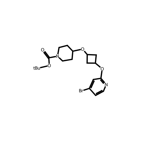 CC(C)(C)OC(=O)N1CCC(OC2CC(Oc3cc(Br)ccn3)C2)CC1